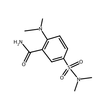 CN(C)c1ccc(S(=O)(=O)N(C)C)cc1C(N)=O